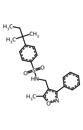 CCC(C)(C)c1ccc(S(=O)(=O)NCc2c(-c3ccccc3)noc2C)cc1